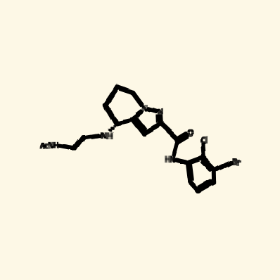 CC(=O)NCCN[C@@H]1CCCn2nc(C(=O)Nc3cccc(Br)c3Cl)cc21